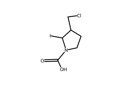 O=C(O)N1CCC(CCl)C1I